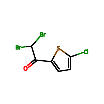 O=C(c1ccc(Cl)s1)C(Br)Br